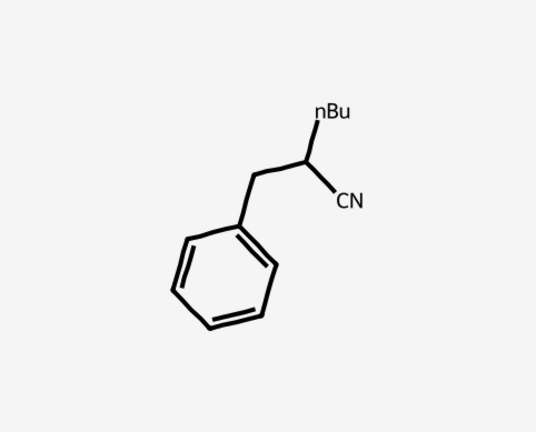 CCCCC(C#N)Cc1ccccc1